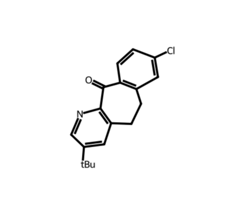 CC(C)(C)c1cnc2c(c1)CCc1cc(Cl)ccc1C2=O